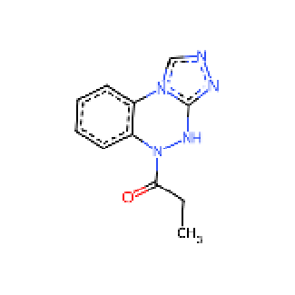 CCC(=O)N1Nc2nncn2-c2ccccc21